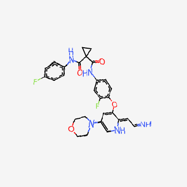 N=C/C=C1\NC=C(N2CCOCC2)C=C1Oc1ccc(NC(=O)C2(C(=O)Nc3ccc(F)cc3)CC2)cc1F